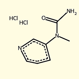 CN(C(N)=O)c1cccnc1.Cl.Cl